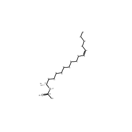 CCCC/C=C\CCCCCCCCC[C@@H](C)OC(C)=O